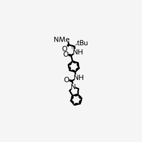 CNC(=O)[C@@H](NC(=O)c1ccc(NC(=O)N2Cc3ccccc3C2)cc1)C(C)(C)C